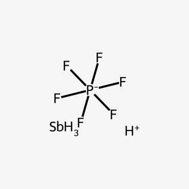 F[P-](F)(F)(F)(F)F.[H+].[SbH3]